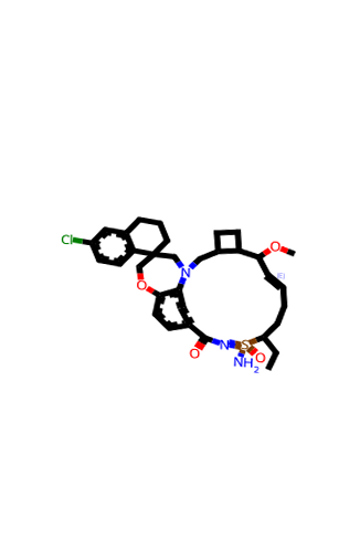 CCC1CC/C=C/C(OC)C2CCC2CN2CC3(CCCc4cc(Cl)ccc43)COc3ccc(cc32)C(=O)N=S1(N)=O